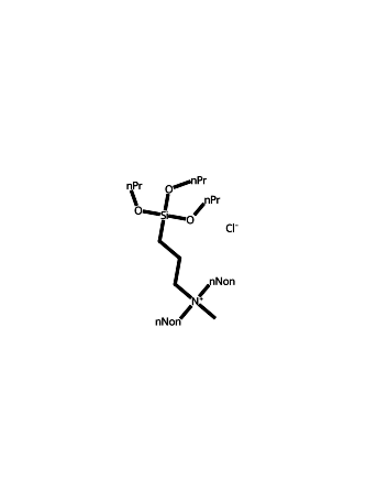 CCCCCCCCC[N+](C)(CCCCCCCCC)CCC[Si](OCCC)(OCCC)OCCC.[Cl-]